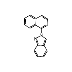 c1ccc2nn(-c3cccc4ccccc34)cc2c1